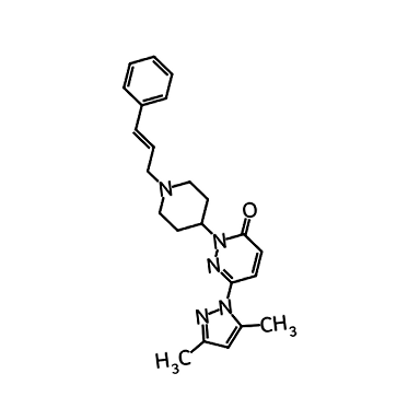 Cc1cc(C)n(-c2ccc(=O)n(C3CCN(C/C=C/c4ccccc4)CC3)n2)n1